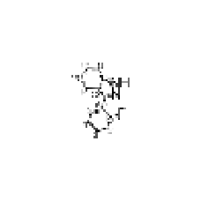 FN1CC=CC=C1c1n[nH]c2ccccc12